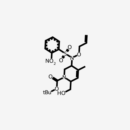 C=CCON(C1CN(C(=O)OC(C)(C)C)C(CO)C=C1C)S(=O)(=O)c1ccccc1[N+](=O)[O-]